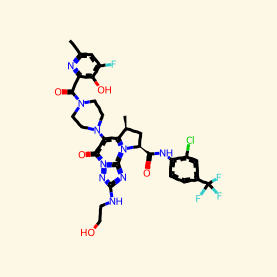 Cc1cc(F)c(O)c(C(=O)N2CCN(c3c4n(c5nc(NCCO)nn5c3=O)[C@H](C(=O)Nc3ccc(C(F)(F)F)cc3Cl)C[C@@H]4C)CC2)n1